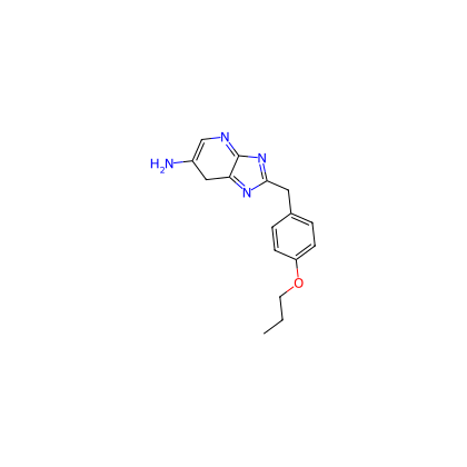 CCCOc1ccc(CC2=NC3=NC=C(N)CC3=N2)cc1